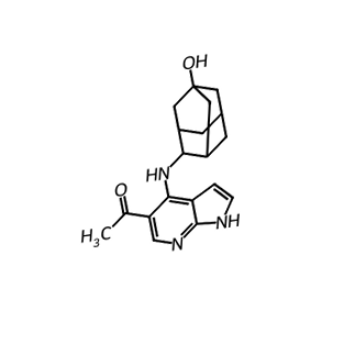 CC(=O)c1cnc2[nH]ccc2c1NC1C2CC3CC1CC(O)(C3)C2